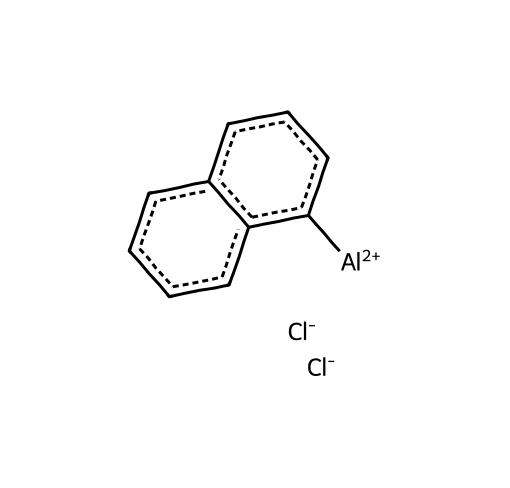 [Al+2][c]1cccc2ccccc12.[Cl-].[Cl-]